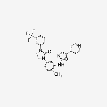 Cc1ccc(N2CCN(c3cccc(C(F)(F)F)c3)C2=O)cc1Nc1ncc(-c2ccncc2)o1